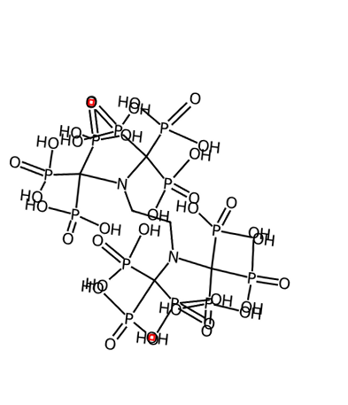 O=P(O)(O)C(N(CCN(C(P(=O)(O)O)(P(=O)(O)O)P(=O)(O)O)C(P(=O)(O)O)(P(=O)(O)O)P(=O)(O)O)C(P(=O)(O)O)(P(=O)(O)O)P(=O)(O)O)(P(=O)(O)O)P(=O)(O)O